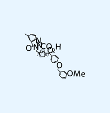 COc1cccc(COc2ccc(C(=O)[C@H]3CC[C@@H](Cn4nnc5ccc(C)cc5c4=O)[C@@H]3C(=O)O)cc2)c1